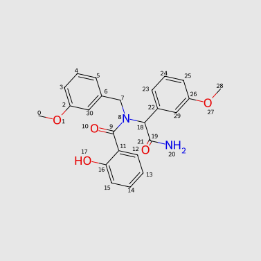 COc1cccc(CN(C(=O)c2ccccc2O)C(C(N)=O)c2cccc(OC)c2)c1